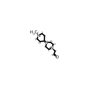 CN1CCC(N2CCN(CC=O)CC2)CC1